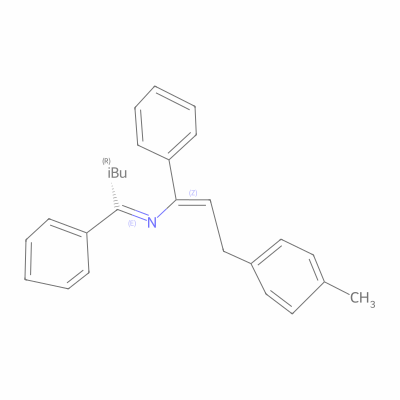 CC[C@@H](C)/C(=N\C(=C/Cc1ccc(C)cc1)c1ccccc1)c1ccccc1